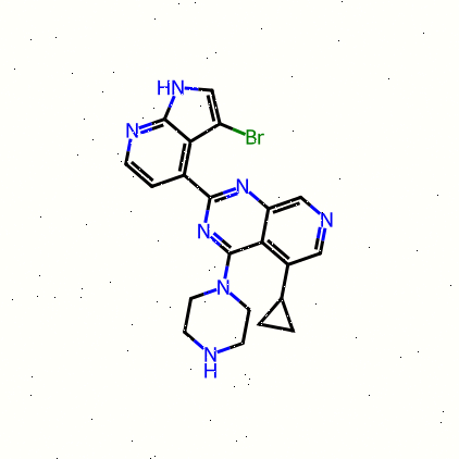 Brc1c[nH]c2nccc(-c3nc(N4CCNCC4)c4c(C5CC5)cncc4n3)c12